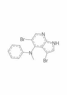 CN(c1ccccc1)c1c(Br)cnc2[nH]cc(Br)c12